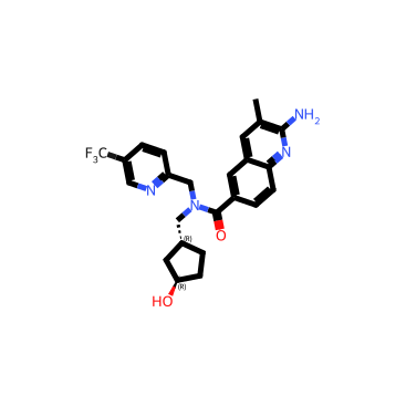 Cc1cc2cc(C(=O)N(Cc3ccc(C(F)(F)F)cn3)C[C@@H]3CC[C@@H](O)C3)ccc2nc1N